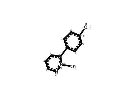 [O-][n+]1ncccc1-c1ccc(O)cc1